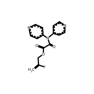 C=C(F)COC(=O)C(=O)N(c1ccncc1)c1ccncc1